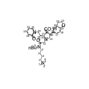 CCCCN(CCCC[N+](C)(C)C)C(=O)CN1C[C@H](c2ccc3c(c2)CCO3)[C@@H](C(=O)O)[C@@H]1CCn1ccccc1=O